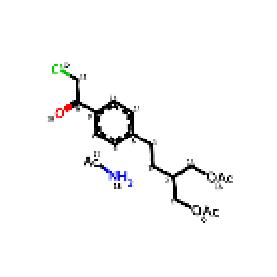 CC(=O)OCC(CCc1ccc(C(=O)CCl)cc1)COC(C)=O.CC(N)=O